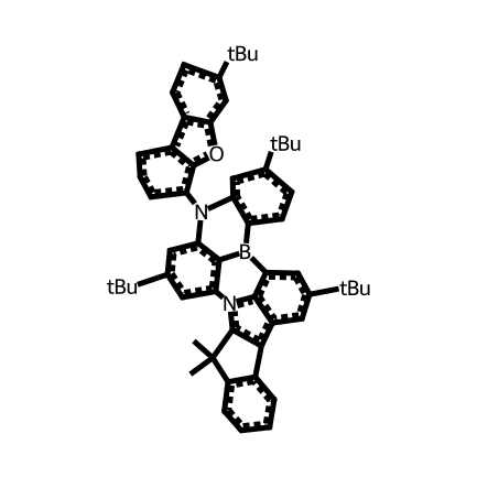 CC(C)(C)c1ccc2c(c1)N(c1cccc3c1oc1cc(C(C)(C)C)ccc13)c1cc(C(C)(C)C)cc3c1B2c1cc(C(C)(C)C)cc2c4c(n-3c12)C(C)(C)c1ccccc1-4